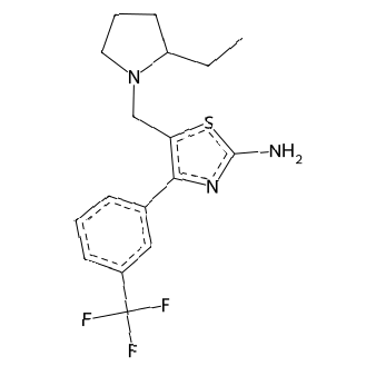 CCC1CCCN1Cc1sc(N)nc1-c1cccc(C(F)(F)F)c1